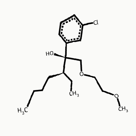 CCCC[C@H](CC)[C@@](O)(COCCOC)c1cccc(Cl)c1